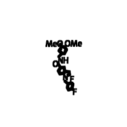 COc1ccc(CNC(=O)c2ccc3c(ccn3Cc3ccc(F)cc3F)c2)cc1OC